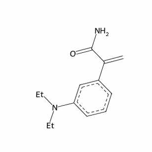 C=C(C(N)=O)c1cccc(N(CC)CC)c1